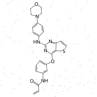 C=CC(=O)Nc1cccc(Oc2nc(Nc3ccc(N4CCOCC4)cc3)nc3ccsc23)c1